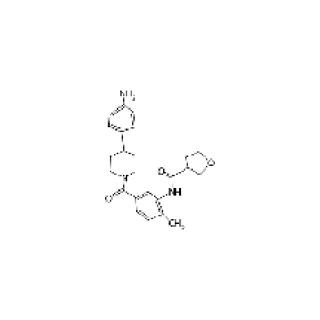 Cc1ccc(C(=O)N2CCC(c3ccc(N)cc3)CC2)cc1NC(=O)C1CCOC1